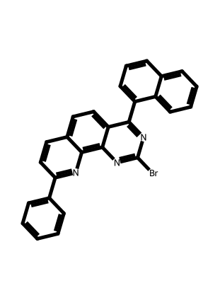 Brc1nc(-c2cccc3ccccc23)c2ccc3ccc(-c4ccccc4)nc3c2n1